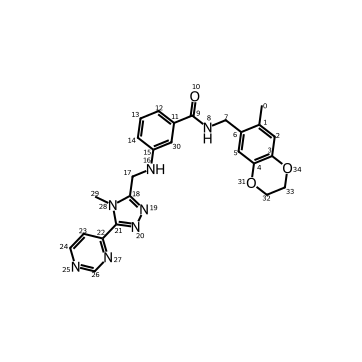 Cc1cc2c(cc1CNC(=O)c1cccc(NCc3nnc(-c4ccncn4)n3C)c1)OCCO2